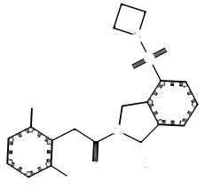 C[C@H]1c2cccc(S(=O)(=O)N3CCC3)c2CN1C(=O)Cc1c(Cl)cccc1Cl